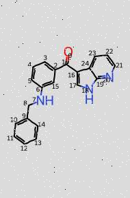 O=C(c1cccc(NCc2ccccc2)c1)c1c[nH]c2ncccc12